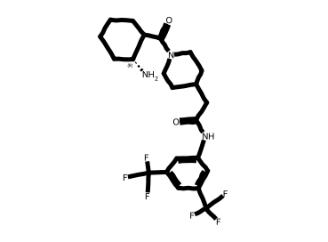 N[C@@H]1CCCCC1C(=O)N1CCC(CC(=O)Nc2cc(C(F)(F)F)cc(C(F)(F)F)c2)CC1